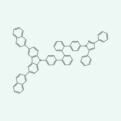 c1ccc(-c2cc(-c3ccccc3)n(-c3ccc(-c4ccccc4-c4ccccc4-c4ccc(-n5c6ccc(-c7ccc8ccccc8c7)cc6c6cc(-c7ccc8ccccc8c7)ccc65)cc4)cc3)n2)cc1